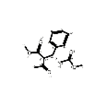 COC(=O)N[C@@H](c1ccccc1)[C@@H](C(C)=O)C(=O)OC